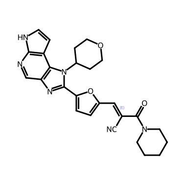 N#C/C(=C\c1ccc(-c2nc3cnc4[nH]ccc4c3n2C2CCOCC2)o1)C(=O)N1CCCCC1